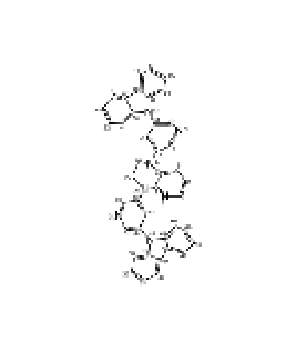 c1cnc2c(c1)N(c1cncc(-n3c4ccccc4c4ccccc43)c1)CCN2c1cncc(-n2c3ccccc3c3ccccc32)c1